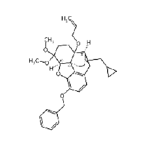 C=CCOC12CCC(OC)(OC)[C@@H]3Oc4c(OCc5ccccc5)ccc5c4[C@@]31CCN(CC1CC1)[C@@H]2C5